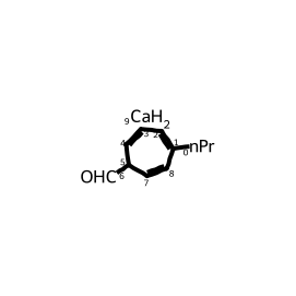 CCCC1=CC=CC(C=O)C=C1.[CaH2]